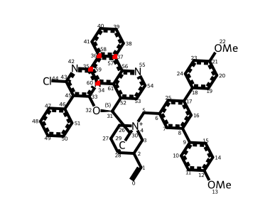 C=CC1C[N+]2(Cc3cc(-c4ccc(OC)cc4)cc(-c4ccc(OC)cc4)c3)CCC1CC2[C@@H](Oc1nc(-c2ccccc2)nc(Cl)c1-c1ccccc1)c1ccnc2ccccc12